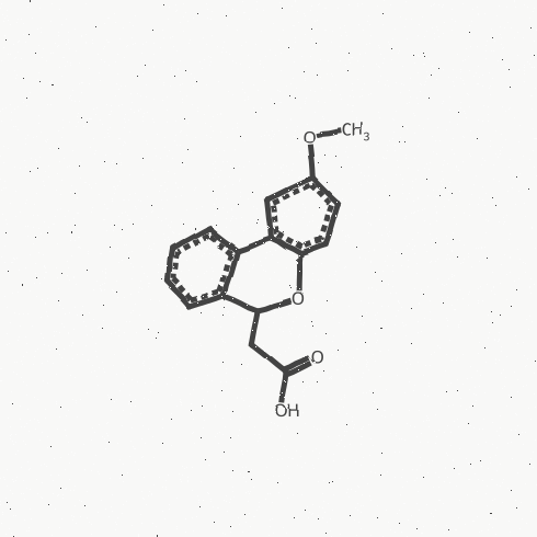 COc1ccc2c(c1)-c1ccccc1C(CC(=O)O)O2